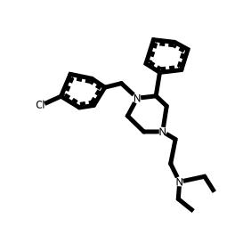 CCN(CC)CCN1CCN(Cc2ccc(Cl)cc2)C(c2ccccc2)C1